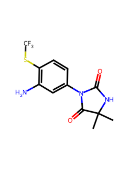 CC1(C)NC(=O)N(c2ccc(SC(F)(F)F)c(N)c2)C1=O